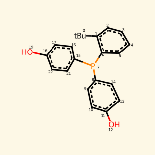 CC(C)(C)c1ccccc1P(c1ccc(O)cc1)c1ccc(O)cc1